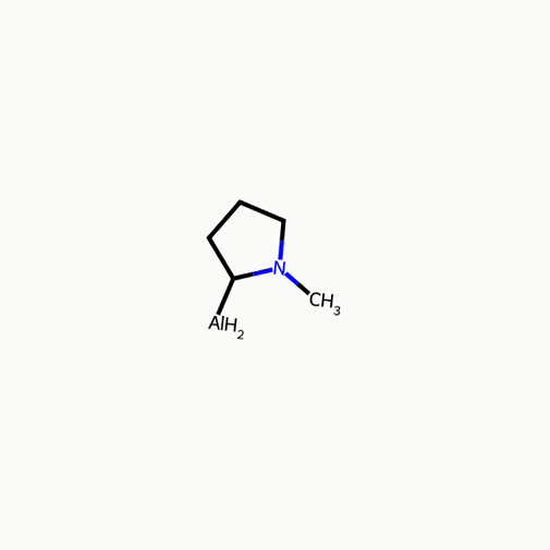 CN1CCC[CH]1[AlH2]